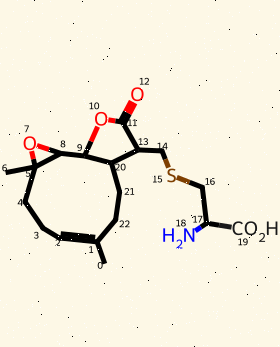 CC1=CCCC2(C)OC2C2OC(=O)C(CSCC(N)C(=O)O)C2CC1